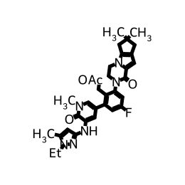 CCn1nc(Nc2cc(-c3cc(F)cc(N4CCn5c(cc6c5CC(C)(C)C6)C4=O)c3COC(C)=O)cn(C)c2=O)cc1C